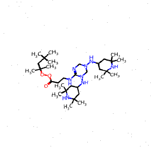 CC(C)(C)CC(C)(C)OOC(=O)CCNC1=NCN(NC2CC(C)(C)NC(C)(C)C2)CN1NC1CC(C)(C)NC(C)(C)C1